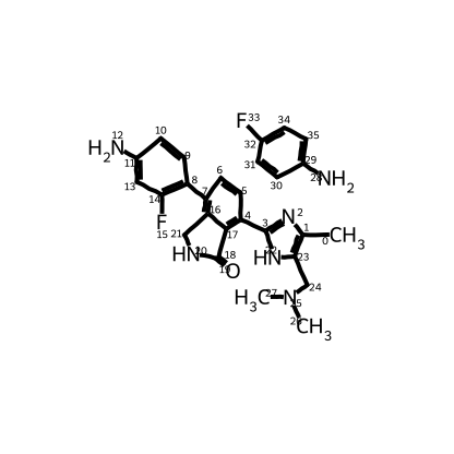 Cc1nc(-c2ccc(-c3ccc(N)cc3F)c3c2C(=O)NC3)[nH]c1CN(C)C.Nc1ccc(F)cc1